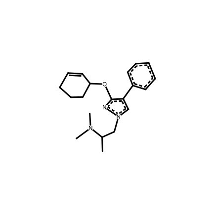 CC(Cn1cc(-c2ccccc2)c(OC2C=CCCC2)n1)N(C)C